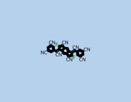 N#CC1=C(F)/C(=C(/C#N)c2cc(C#N)cc(C#N)c2)C2=CC3C(C#N)=C(F)/C(=C(/C#N)c4cc(C#N)cc(C#N)c4)C3C=C21